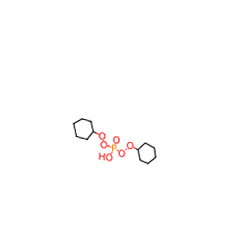 O=P(O)(OOC1CCCCC1)OOC1CCCCC1